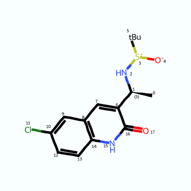 C[C@H](N[S+]([O-])C(C)(C)C)c1cc2cc(Cl)ccc2[nH]c1=O